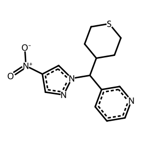 O=[N+]([O-])c1cnn(C(c2cccnc2)C2CCSCC2)c1